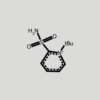 CC(C)(C)[n+]1ccccc1S(N)(=O)=O